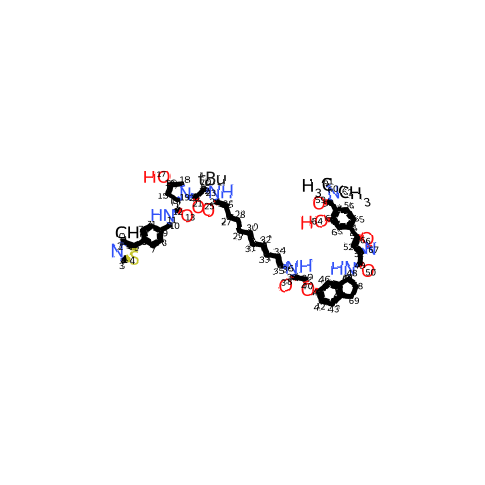 Cc1ncsc1-c1ccc(CNC(=O)[C@@H]2C[C@@H](O)CN2C(=O)C(NC(=O)CCCCCCCCCCNC(=O)COc2ccc3c(c2)[C@H](NC(=O)c2cc(-c4ccc(C(=O)N(C)C)c(O)c4)on2)CC3)C(C)(C)C)cc1